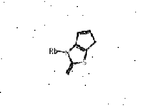 C=C1SC2=C(C=CC2)[N]1[Rb]